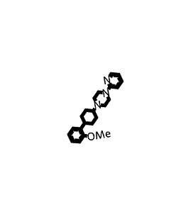 COc1ccccc1C1CCC(N2CCN(c3ccccn3)CC2)CC1